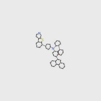 c1ccc(-c2ccccc2N(c2ccc(-c3cc4ccccc4c4ccccc34)cc2)c2ccc(-c3cccc4c3sc3cnccc34)cc2)cc1